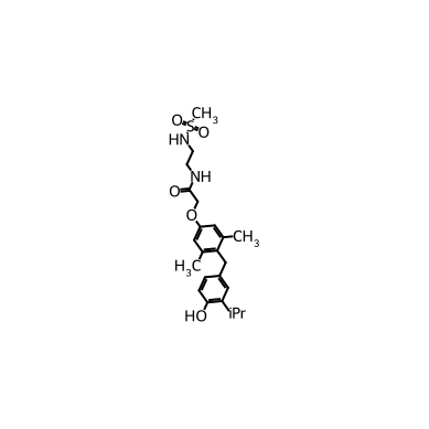 Cc1cc(OCC(=O)NCCNS(C)(=O)=O)cc(C)c1Cc1ccc(O)c(C(C)C)c1